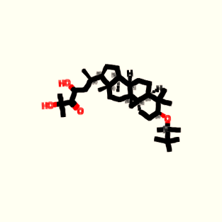 C[C@H](CC(O)C(=O)C(C)(C)O)[C@H]1CC[C@@]2(C)[C@@H]3CC[C@H]4C(C)(C)[C@@H](O[Si](C)(C)C(C)(C)C)CC[C@@]45C[C@@]35CC[C@]12C